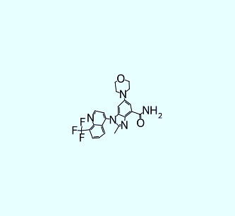 Cc1nc2c(C(N)=O)cc(N3CCOCC3)cc2n1-c1ccnc2c(C(F)(F)F)cccc12